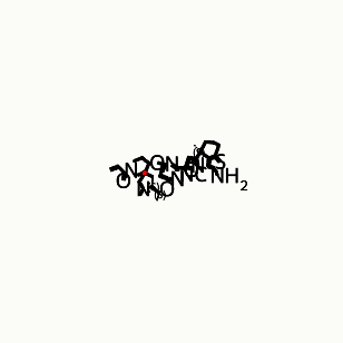 C=CC(=O)N1CCC(Oc2cc(O[C@@H](C)[C@@H]3CCCN3C)nc(-c3cc([C@@]4(C)CCCc5sc(N)c(C#N)c54)no3)n2)CC1